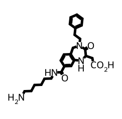 NCCCCCCNC(=O)c1ccc2c(c1)NC(CC(=O)O)C(=O)N(CCc1ccccc1)C2